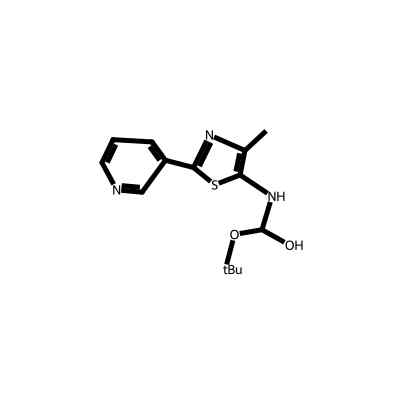 Cc1nc(-c2cccnc2)sc1NC(O)OC(C)(C)C